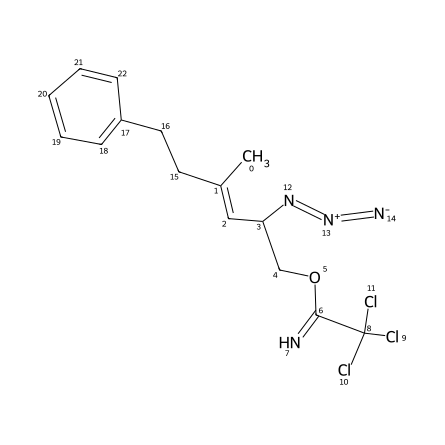 C/C(=C\C(COC(=N)C(Cl)(Cl)Cl)N=[N+]=[N-])CCc1ccccc1